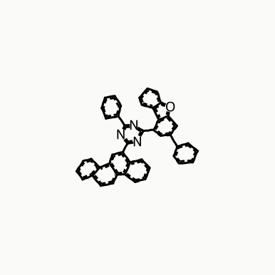 c1ccc(-c2cc(-c3nc(-c4ccccc4)nc(-c4cc5c6ccccc6ccc5c5ccccc45)n3)c3c(c2)oc2ccccc23)cc1